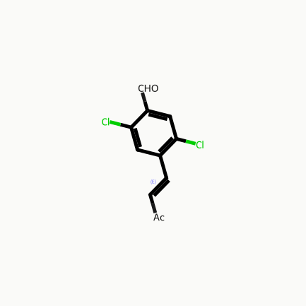 CC(=O)/C=C/c1cc(Cl)c(C=O)cc1Cl